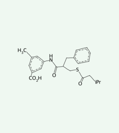 Cc1cc(NC(=O)C(CSC(=O)CC(C)C)Cc2ccccc2)cc(C(=O)O)c1